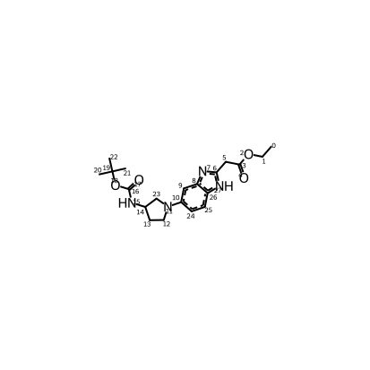 CCOC(=O)Cc1nc2cc(N3CCC(NC(=O)OC(C)(C)C)C3)ccc2[nH]1